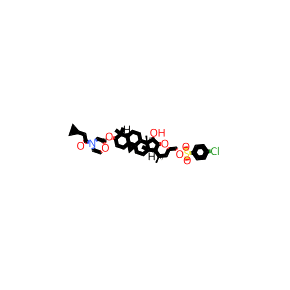 C[C@@H]1CC(COS(=O)(=O)c2ccc(Cl)cc2)OC2[C@H]1C1(C)CCC34CC35CCC(O[C@H]3CN(C(=O)CC6CC6)CCO3)C(C)(C)[C@@H]5CCC4[C@]1(C)[C@H]2O